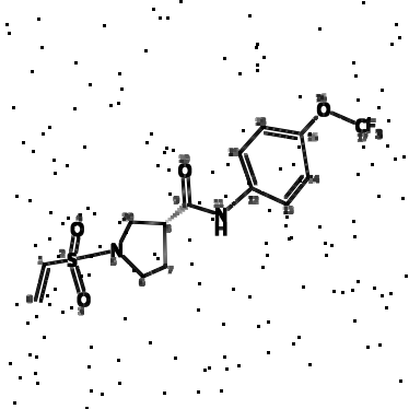 C=CS(=O)(=O)N1CC[C@@H](C(=O)Nc2ccc(OC(F)(F)F)cc2)C1